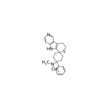 CN(C)C1(c2ccccc2)CCC2(CC1)SCCc1c2[nH]c2ccncc12